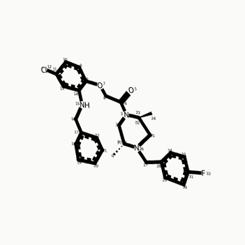 C[C@@H]1CN(C(=O)COc2ccc(Cl)cc2NCc2ccccc2)[C@@H](C)CN1Cc1ccc(F)cc1